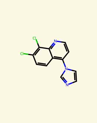 Clc1ccc2c(-n3ccnc3)ccnc2c1Cl